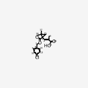 C/C(=C\C1(C(=O)OCc2ccc(Cl)cc2)CC1(C)C)C(=O)O